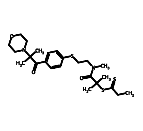 CCC(=S)SC(C)(C)C(=O)N(C)CCSc1ccc(C(=O)C(C)(C)N2CCOCC2)cc1